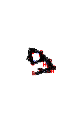 C=C1C[C@@H]2C[C@@H]3CCC[C@@H](O3)c3coc(n3)/C=C/C[C@H]3O[C@@H](/C(C)=C/c4coc(C[C@]5(O)C[C@H](OC)C[C@H]([C@H](O)/C=C(C)/C=C/[C@@H](C/C=C/Br)OC)O5)n4)[C@H](C)[C@@H](OC(=O)/C=C\C[C@@H](C1)O2)[C@H]3C